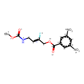 CC(C)(C)OC(=O)NC/C=C(\F)COC(=O)c1cc([N+](=O)[O-])cc([N+](=O)[O-])c1